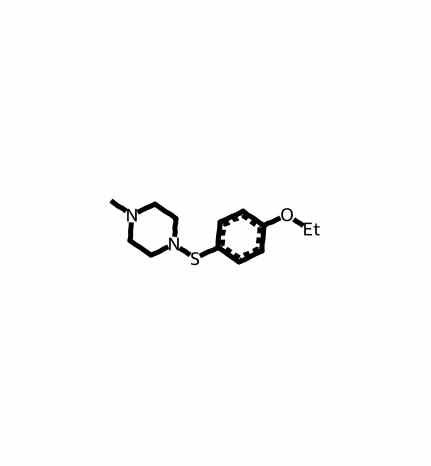 CCOc1ccc(SN2CCN(C)CC2)cc1